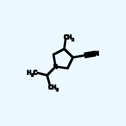 CC1CN(C(C)C)CC1C#N